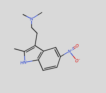 Cc1[nH]c2ccc([N+](=O)[O-])cc2c1CCN(C)C